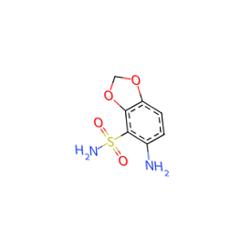 Nc1ccc2c(c1S(N)(=O)=O)OCO2